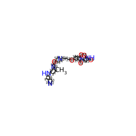 Cc1ccc(Nc2ccc3cnccc3c2)cc1N1CC(OC2CCN(CCCCCOc3ccc4c(c3)C(=O)N(C3CCC(=O)NC3=O)C4=O)CC2)C1